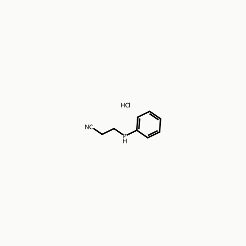 Cl.N#CCCPc1ccccc1